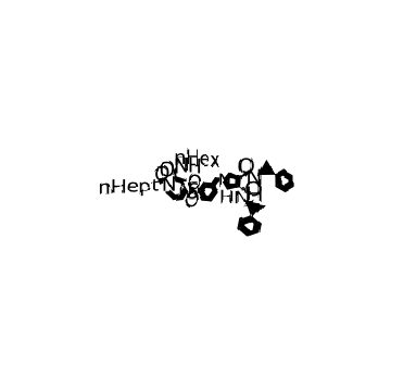 CCCCCCCC(=O)N1CCCN(S(=O)(=O)c2cccc(CN3C[C@@H](C(=O)N[C@H]4C[C@@H]4c4ccccc4)[C@H](C(=O)N[C@H]4C[C@@H]4c4ccccc4)C3)c2)C[C@@H]1C(=O)NCCCCCC